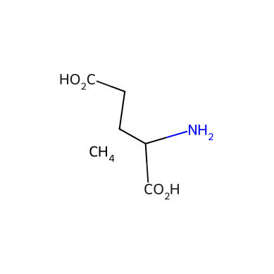 C.NC(CCC(=O)O)C(=O)O